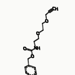 C#CCOCCOCCNC(=O)OCc1ccccc1